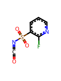 O=C=NS(=O)(=O)c1cccnc1F